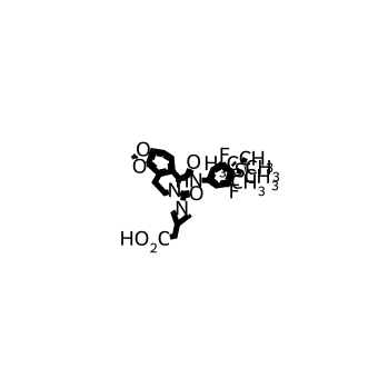 CS(C)(C)(C)(C)c1c(F)cc(NC(=O)C2c3ccc4c(c3CCN2C(=O)N2CC(CC(=O)O)C2)OCO4)cc1F